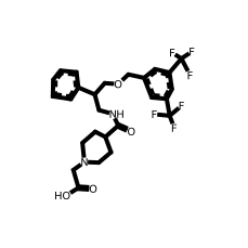 O=C(O)CN1CCC(C(=O)NCC(COCc2cc(C(F)(F)F)cc(C(F)(F)F)c2)c2ccccc2)CC1